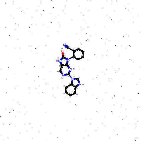 N#Cc1ccccc1-n1c(=O)[nH]c2cnc(-n3cnc4ccccc43)nc21